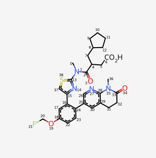 CN(C(=O)C(CC(=O)O)CC1CCCC1)c1nc(-c2cc(OCF)ccc2-c2cnc3c(c2)CCC(=O)N3C)cs1